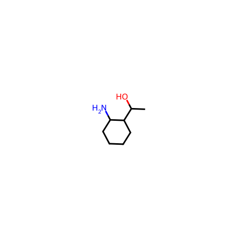 CC(O)C1CCCCC1N